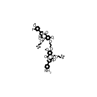 COc1ccc(C2=CN3C(=O)c4cc(OC)c(OCCCOc5cc6c(cc5OC)C(=O)N5C=C(c7ccc(N)cc7)C[C@H]5C(=O)N6COCC[Si](C)(C)C)cc4N(COCC[Si](C)(C)C)C(=O)[C@@H]3C2)cc1F